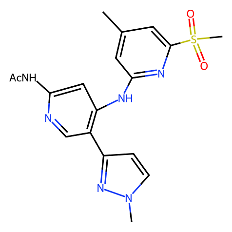 CC(=O)Nc1cc(Nc2cc(C)cc(S(C)(=O)=O)n2)c(-c2ccn(C)n2)cn1